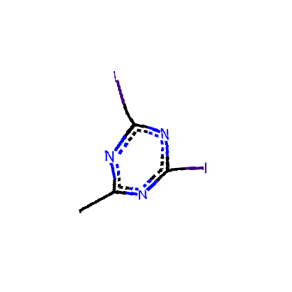 Cc1nc(I)nc(I)n1